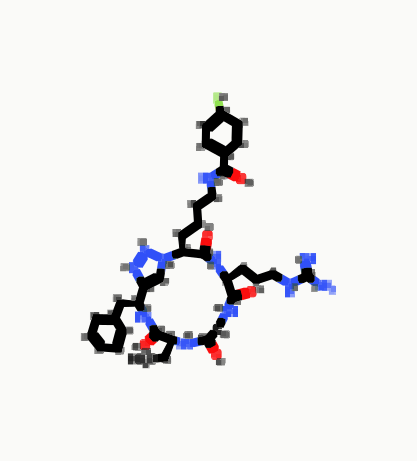 N=C(N)NCCC[C@@H]1NC(=O)[C@H](CCCCNC(=O)c2ccc(F)cc2)n2cc(nn2)[C@H](Cc2ccccc2)NC(=O)[C@H](CC(=O)O)NC(=O)CNC1=O